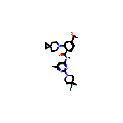 CC(=O)c1ccc(C(=O)Nc2cc(C)nc(N3CCC(C)(F)CC3)n2)c(N2CCC3(CC2)CC3)c1